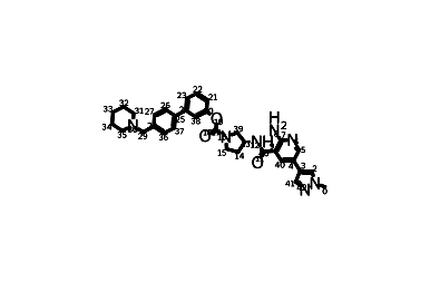 Cn1cc(-c2cnc(N)c(C(=O)N[C@@H]3CCN(C(=O)Oc4cccc(-c5ccc(CN6CCCCC6)cc5)c4)C3)c2)cn1